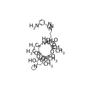 CC[C@H]1OC(=O)[C@H](C)C(=O)[C@H](C)[C@@H](O[C@@H]2OC(C)CC(N3CCCC3)C2O)[C@H](OC)C[C@@H](C)CN[C@H](C)[C@H]2N(CCCCn3cc(-c4cccc(N)c4)nn3)C(=O)O[C@]12C